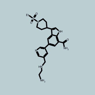 CCS(=O)(=O)N1CCC(c2c[nH]c3c(C(N)=O)cc(-c4cncc(CNCCN)c4)cc23)CC1